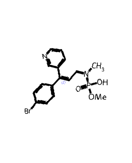 COP(=O)(O)N(C)C/C=C(/c1ccc(Br)cc1)c1cccnc1